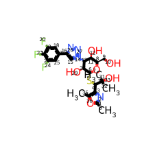 Cc1nc(C(S[C@@H]2O[C@H](CO)[C@H](O)[C@H](n3cc(-c4cc(F)c(F)c(F)c4)nn3)[C@H]2O)C(C)(C)O)c(C)o1